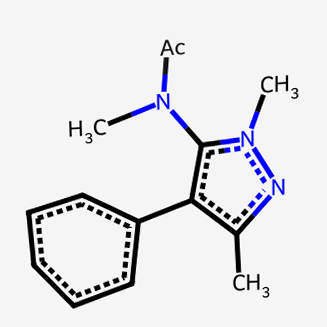 CC(=O)N(C)c1c(-c2ccccc2)c(C)nn1C